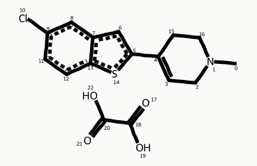 CN1CC=C(c2cc3cc(Cl)ccc3s2)CC1.O=C(O)C(=O)O